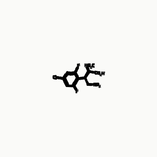 O=C(O)C(C(=O)O)[C@@H](C[N+](=O)[O-])c1c(F)cc(Cl)cc1F